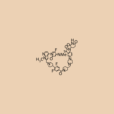 CNc1cc(=O)n(-c2ccnc3c2cc(CN2CCC(c4c(F)cc(C(=O)N5CCC(CN6CCN(c7ccc8c(c7)C7(CC7)C(=O)N8C7CCC(=O)NC7=O)CC6)CC5)cc4F)CC2)n3C)cc1F